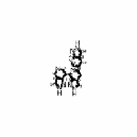 c1cc2c[nH]nc2cn1.c1cc2n[nH]cc2cn1.c1cnc2n[nH]cc2c1